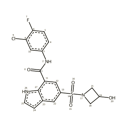 O=C(Nc1ccc(F)c(Cl)c1)c1cc(S(=O)(=O)N2CC(O)C2)cc2cc[nH]c12